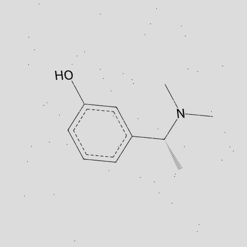 C[C@H](c1cccc(O)c1)N(C)C